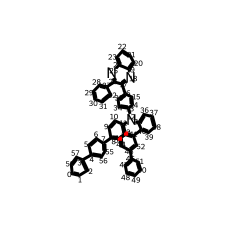 c1ccc(-c2ccc(-c3ccc(N(c4ccc(-c5nc6ccccc6nc5-c5ccccc5)cc4)c4ccccc4-c4cccc(-c5ccccc5)c4)cc3)cc2)cc1